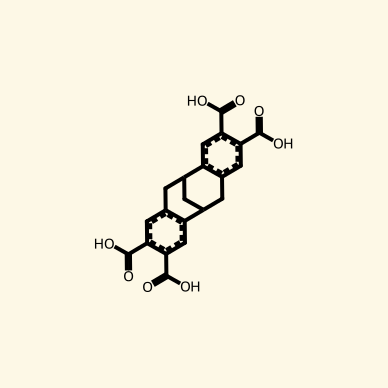 O=C(O)c1cc2c(cc1C(=O)O)C1Cc3cc(C(=O)O)c(C(=O)O)cc3C(C2)C1